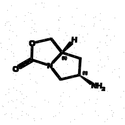 N[C@H]1C[C@H]2COC(=O)N2C1